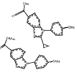 COC(=O)c1ccc2c(c1)nc(C1CC1)n2-c1ccc(OC)cc1.COC(=O)c1ccc2c(c1)ncn2-c1ccc(OC)cc1